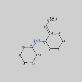 CC(C)(C)C=C1CCCCC1NC1CCCCC1